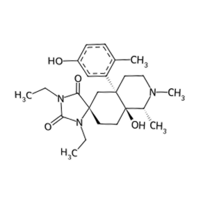 CCN1C(=O)N(CC)[C@]2(CC[C@@]3(O)[C@@H](C)N(C)CC[C@]3(c3cc(O)ccc3C)C2)C1=O